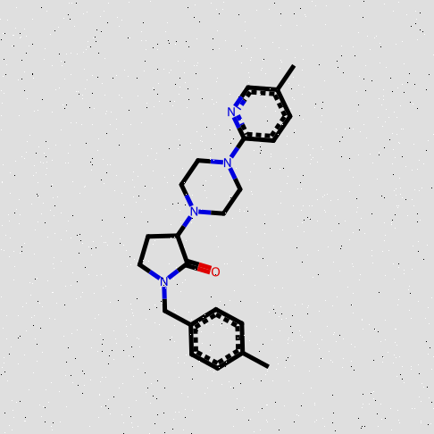 Cc1ccc(CN2CCC(N3CCN(c4ccc(C)cn4)CC3)C2=O)cc1